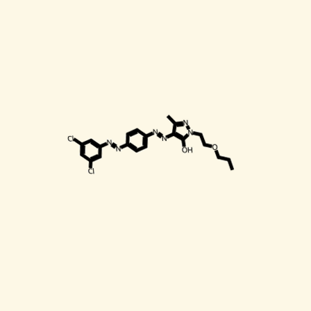 CCCOCCn1nc(C)c(/N=N/c2ccc(/N=N/c3cc(Cl)cc(Cl)c3)cc2)c1O